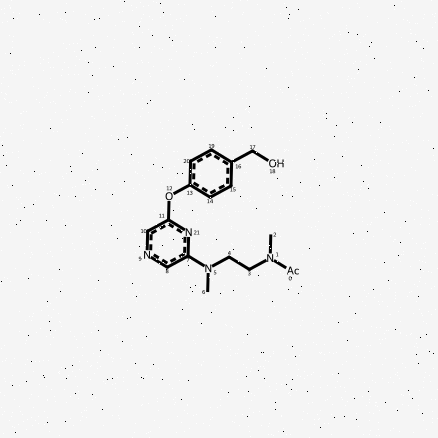 CC(=O)N(C)CCN(C)c1cncc(Oc2ccc(CO)cc2)n1